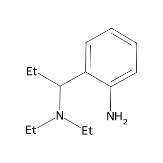 CCC(c1ccccc1N)N(CC)CC